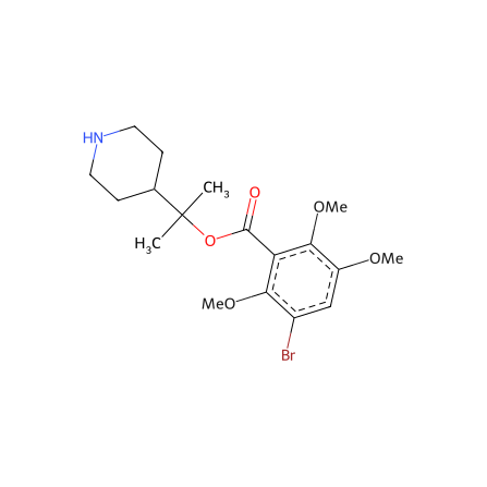 COc1cc(Br)c(OC)c(C(=O)OC(C)(C)C2CCNCC2)c1OC